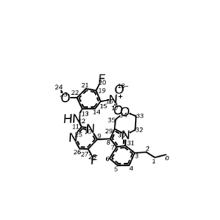 CCCc1cccc2c(-c3nc(Nc4cc([N+](=O)[O-])c(F)cc4OC)ncc3F)c3n(c12)CCOC3